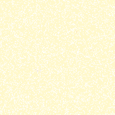 C=C(CCCNC(=O)C(F)(F)F)c1ccc(Br)c(OCOC)c1